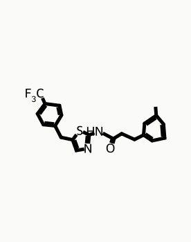 Cc1cccc(CCC(=O)Nc2ncc(Cc3ccc(C(F)(F)F)cc3)s2)c1